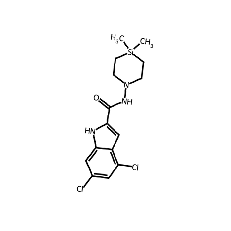 C[Si]1(C)CCN(NC(=O)c2cc3c(Cl)cc(Cl)cc3[nH]2)CC1